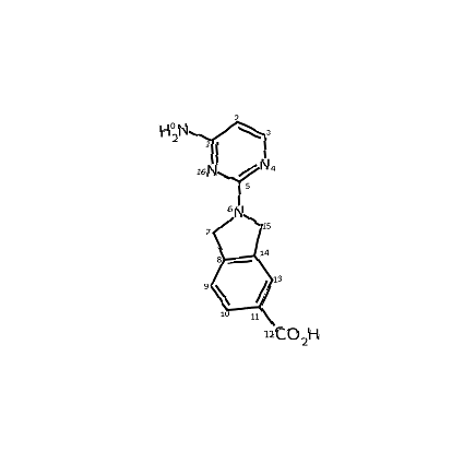 Nc1ccnc(N2Cc3ccc(C(=O)O)cc3C2)n1